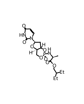 CCC(CC)COC(=O)[C@H](C)NP1(=O)OC[C@H]2O[C@@H](n3ccc(=O)[nH]c3=O)C[C@@H]2O1